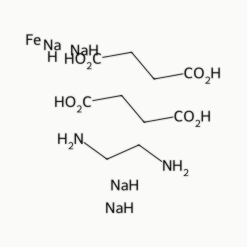 NCCN.O=C(O)CCC(=O)O.O=C(O)CCC(=O)O.[Fe].[NaH].[NaH].[NaH].[NaH]